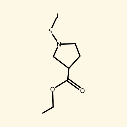 CCOC(=O)C1CCN(SI)C1